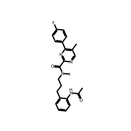 CC(=O)Nc1ccccc1CCCN(I)C(=O)c1ncc(C)c(-c2ccc(F)cc2)n1